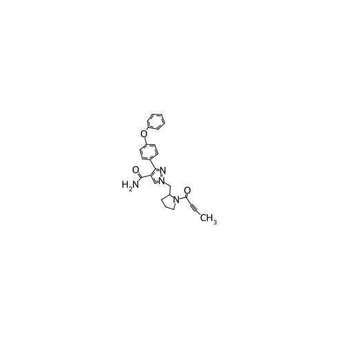 CC#CC(=O)N1CCCC1Cn1cc(C(N)=O)c(-c2ccc(Oc3ccccc3)cc2)n1